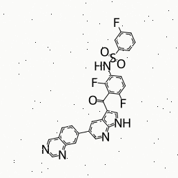 O=C(c1c(F)ccc(NS(=O)(=O)c2cccc(F)c2)c1F)c1c[nH]c2ncc(-c3ccc4cncnc4c3)cc12